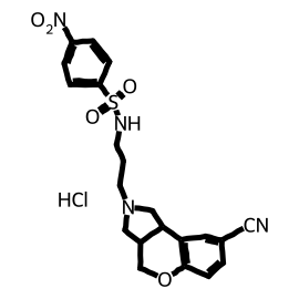 Cl.N#Cc1ccc2c(c1)C1CN(CCCNS(=O)(=O)c3ccc([N+](=O)[O-])cc3)CC1CO2